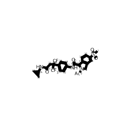 CC(=O)N1Cc2cc(S(C)(=O)=O)ccc2C1C(=O)Nc1ccc(C(CC(=O)NC2CC2)(C(F)(F)F)C(F)(F)F)cc1